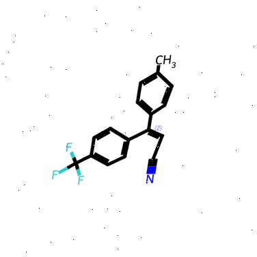 Cc1ccc(/C(=C/C#N)c2ccc(C(F)(F)F)cc2)cc1